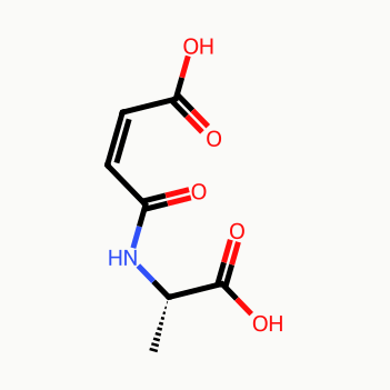 C[C@H](NC(=O)/C=C\C(=O)O)C(=O)O